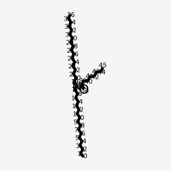 CCCCCCCCCCCCCCCCCCN(CCCCCCCCCCCCCCCCCC)C(=O)CCCCCCC